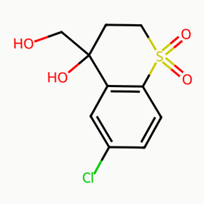 O=S1(=O)CCC(O)(CO)c2cc(Cl)ccc21